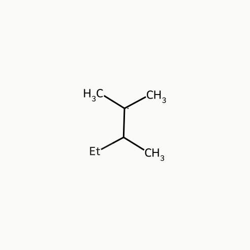 [CH2]CC(C)[C](C)C